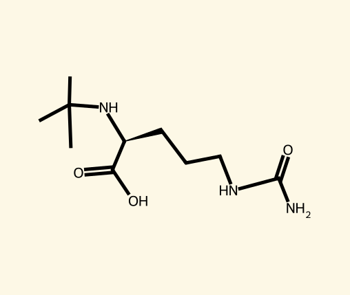 CC(C)(C)N[C@@H](CCCNC(N)=O)C(=O)O